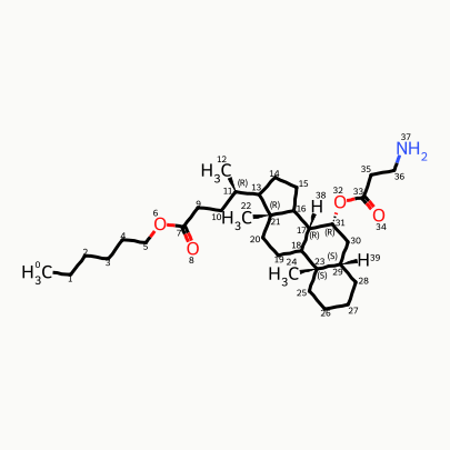 CCCCCCOC(=O)CC[C@@H](C)C1CCC2[C@H]3C(CC[C@@]21C)[C@@]1(C)CCCC[C@H]1C[C@H]3OC(=O)CCN